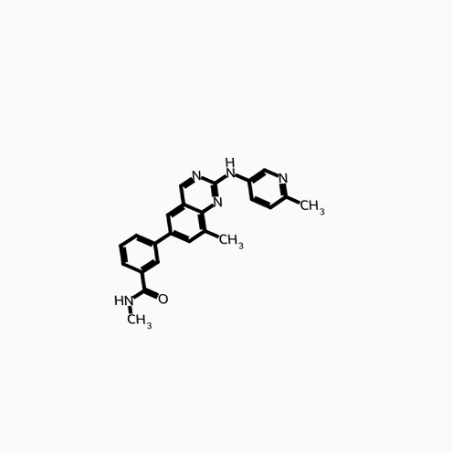 CNC(=O)c1cccc(-c2cc(C)c3nc(Nc4ccc(C)nc4)ncc3c2)c1